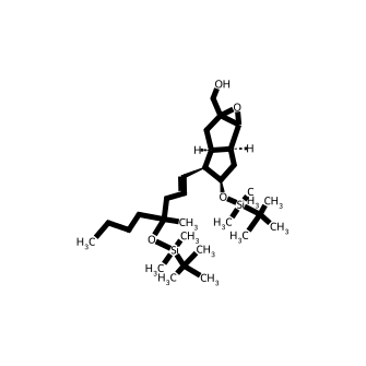 CCCCC(C)(C/C=C/[C@H]1[C@H]2CC3(CO)OC3[C@H]2C[C@H]1O[Si](C)(C)C(C)(C)C)O[Si](C)(C)C(C)(C)C